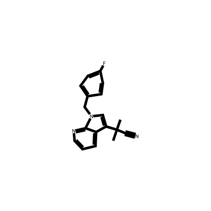 CC(C)(C#N)c1cn(Cc2ccc(F)cc2)c2ncccc12